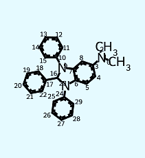 CN(C)c1ccc2c(c1)N(c1ccccc1)C(c1ccccc1)N2c1ccccc1